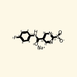 O=C(Nc1ccc(F)cc1)c1cnc(S(=O)[O-])nc1.[Na+]